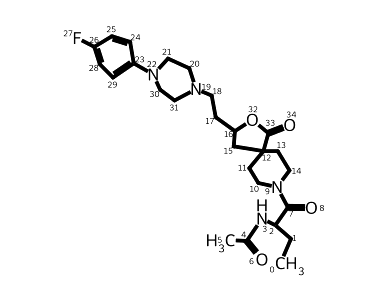 CCC(NC(C)=O)C(=O)N1CCC2(CC1)CC(CCN1CCN(c3ccc(F)cc3)CC1)OC2=O